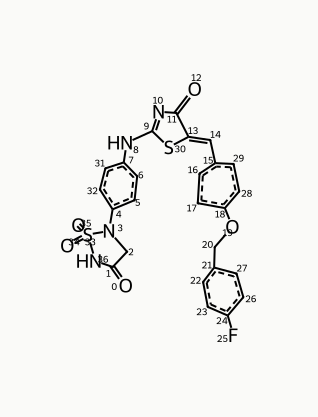 O=C1CN(c2ccc(NC3=NC(=O)C(=Cc4ccc(OCc5ccc(F)cc5)cc4)S3)cc2)S(=O)(=O)N1